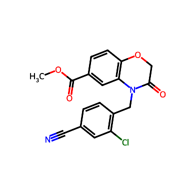 COC(=O)c1ccc2c(c1)N(Cc1ccc(C#N)cc1Cl)C(=O)CO2